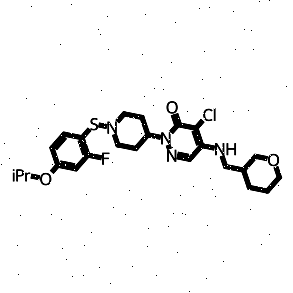 CC(C)Oc1ccc(SN2CCC(n3ncc(NCC4CCCOC4)c(Cl)c3=O)CC2)c(F)c1